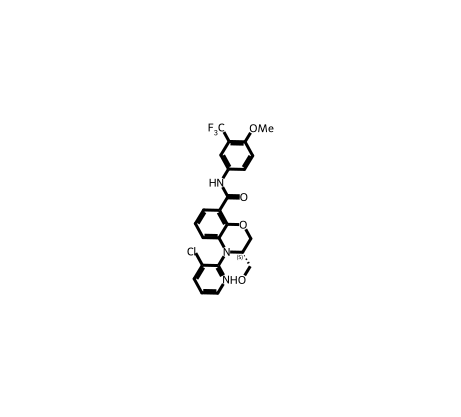 COc1ccc(NC(=O)c2cccc3c2OC[C@H](CO)N3c2ncccc2Cl)cc1C(F)(F)F